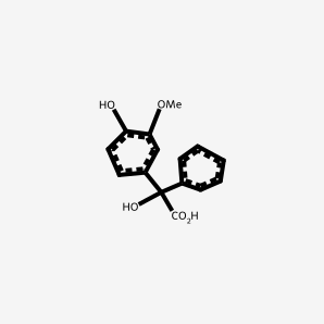 COc1cc(C(O)(C(=O)O)c2ccccc2)ccc1O